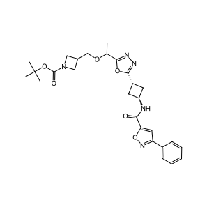 CC(OCC1CN(C(=O)OC(C)(C)C)C1)c1nnc([C@H]2C[C@H](NC(=O)c3cc(-c4ccccc4)no3)C2)o1